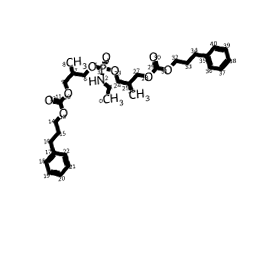 CCNP(=O)(OCC(C)COC(=O)OCCCc1ccccc1)OCC(C)COC(=O)OCCCc1ccccc1